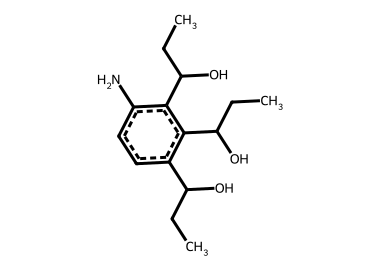 CCC(O)c1ccc(N)c(C(O)CC)c1C(O)CC